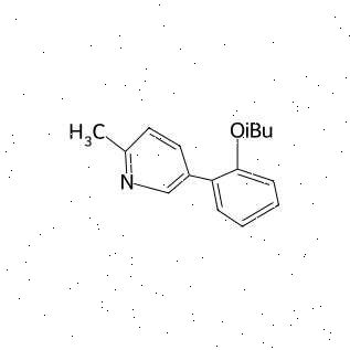 Cc1ccc(-c2ccccc2OCC(C)C)cn1